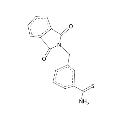 NC(=S)c1cccc(CN2C(=O)c3ccccc3C2=O)c1